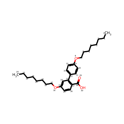 CCCCCCCCOc1ccc(-c2cc(OCCCCCCCC)ccc2C(=O)O)cc1